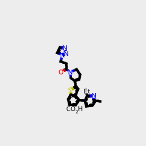 CCc1nc(C)ccc1-c1cc(C(=O)O)cc2sc(C3=CCCN(C(=O)CCn4ccnn4)C3)cc12